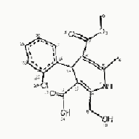 COC(=O)C1=C(C)NC(CO)=C(C(=O)O)C1c1ccccc1Cl